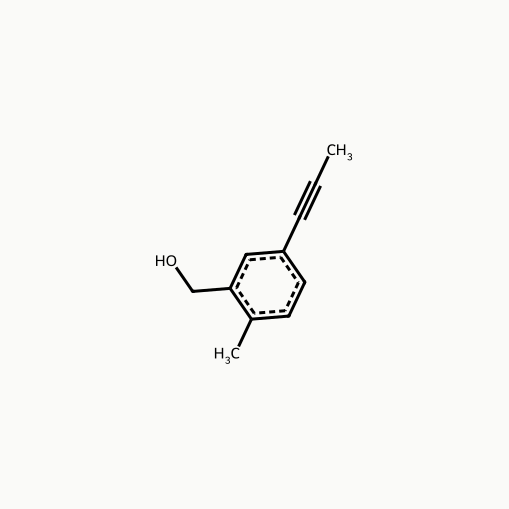 CC#Cc1ccc(C)c(CO)c1